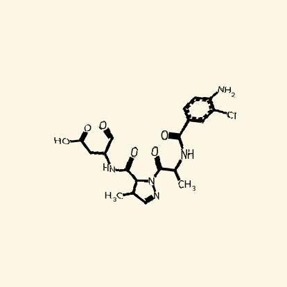 CC(NC(=O)c1ccc(N)c(Cl)c1)C(=O)N1N=CC(C)C1C(=O)NC(C=O)CC(=O)O